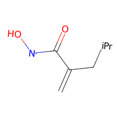 C=C(CC(C)C)C(=O)[N]O